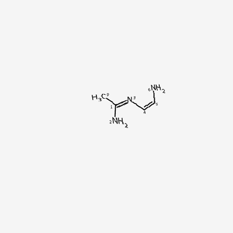 C/C(N)=N/C=C\N